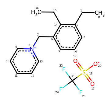 CCc1cccc(C[n+]2ccccc2)c1CC.O=S(=O)([O-])C(F)(F)F